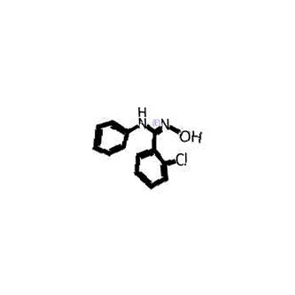 O/N=C(/Nc1ccccc1)c1ccccc1Cl